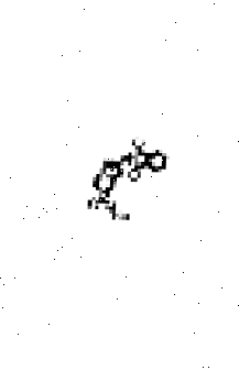 CC(C)(C)OC(=O)N1CCn2nc(CN3C(=O)c4ccccc4C3=O)cc2C1